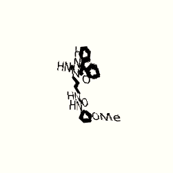 COc1cccc(NC(=O)NCCCCN2C(=N)NC(c3ccccc3)(c3ccccc3)C2=O)c1